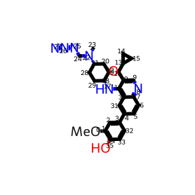 COc1cc(-c2ccc3ncc(C(=O)C4CC4)c(N[C@H]4CC[C@H](N(C)CN=[N+]=[N-])CC4)c3c2)ccc1O